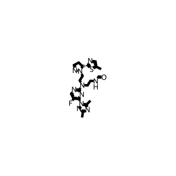 Cc1nc(C)n(-c2nc(N(CCNC=O)CCN3N=CC[C@@H]3c3ncc(C)s3)ncc2F)n1